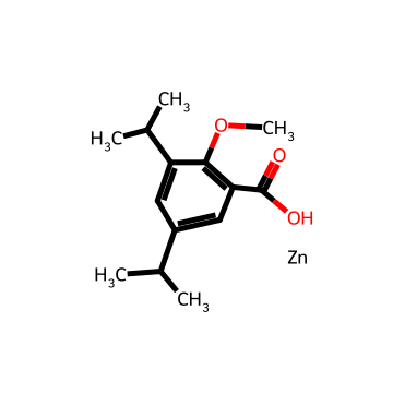 COc1c(C(=O)O)cc(C(C)C)cc1C(C)C.[Zn]